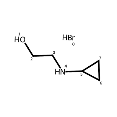 Br.OCCNC1CC1